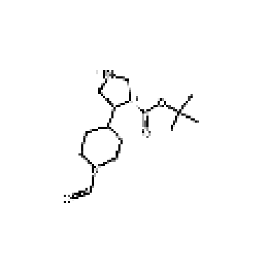 CC(C)(C)OC(=O)[C@H]1CNCC1C1CCN(C=O)CC1